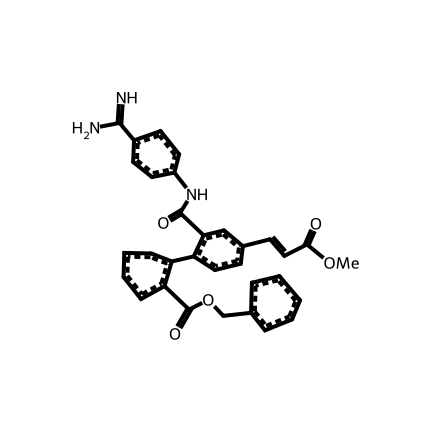 COC(=O)C=Cc1ccc(-c2ccccc2C(=O)OCc2ccccc2)c(C(=O)Nc2ccc(C(=N)N)cc2)c1